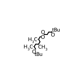 C[C@H](C[C@H](C)COC(=O)CCC(=O)C(C)(C)C)C[C@@H](C)COC(C)(C)C